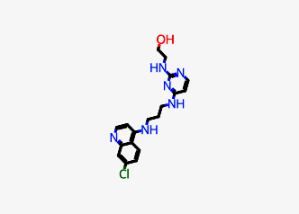 OCCNc1nccc(NCCCNc2ccnc3cc(Cl)ccc23)n1